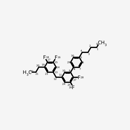 CCCCCc1ccc(-c2cc(Cc3cc(F)c(F)c(CCC)c3)cc(F)c2F)cc1